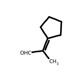 CC(C=O)=C1CCCC1